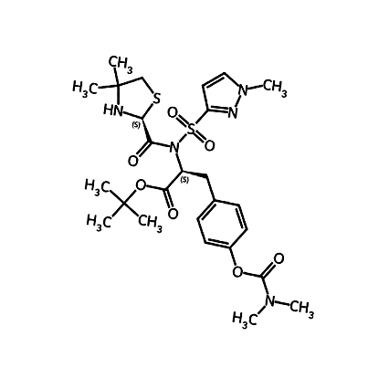 CN(C)C(=O)Oc1ccc(C[C@@H](C(=O)OC(C)(C)C)N(C(=O)[C@H]2NC(C)(C)CS2)S(=O)(=O)c2ccn(C)n2)cc1